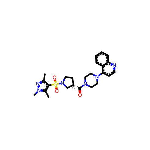 Cc1nn(C)c(C)c1S(=O)(=O)N1CC[C@H](C(=O)N2CCN(c3ccnc4ccccc34)CC2)C1